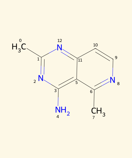 Cc1nc(N)c2c(C)nccc2n1